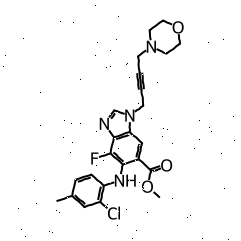 COC(=O)c1cc2c(ncn2CC#CCN2CCOCC2)c(F)c1Nc1ccc(C)cc1Cl